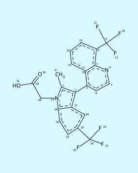 Cc1c(-c2ccnc3c(C(F)(F)F)cccc23)c2cc(C(F)(F)F)ccc2n1CC(=O)O